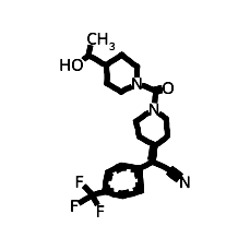 CC(O)C1CCN(C(=O)N2CCC(=C(C#N)c3ccc(C(F)(F)F)cc3)CC2)CC1